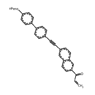 C=CC(=O)c1ccc2cc(C#Cc3ccc(-c4ccc(CCCCC)cc4)cc3)ccc2c1